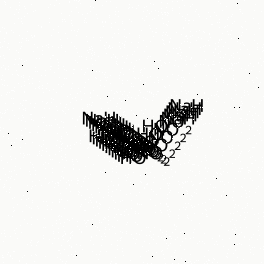 O=[N+]([O-])O.O=[N+]([O-])O.O=[N+]([O-])O.O=[N+]([O-])O.O=[N+]([O-])O.O=[N+]([O-])O.O=[N+]([O-])O.O=[N+]([O-])O.O=[N+]([O-])O.O=[N+]([O-])O.O=[N+]([O-])O.O=[N+]([O-])O.O=[N+]([O-])O.O=[N+]([O-])O.O=[N+]([O-])O.[NaH].[NaH].[NaH].[NaH].[NaH].[NaH].[NaH].[NaH].[NaH].[NaH].[NaH].[NaH]